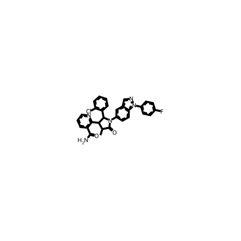 CC1C(=O)N(c2ccc3c(cnn3-c3ccc(F)cc3)c2)C(c2ccccc2Cl)C1c1ncccc1C(N)=O